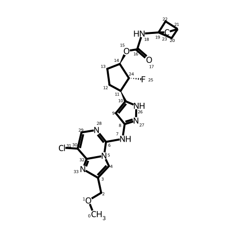 COCc1cn2c(Nc3cc([C@H]4CC[C@@H](OC(=O)NC56CC(C5)C6)[C@@H]4F)[nH]n3)ncc(Cl)c2n1